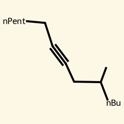 [CH2]CCCCCC#CCC(C)CCC[CH2]